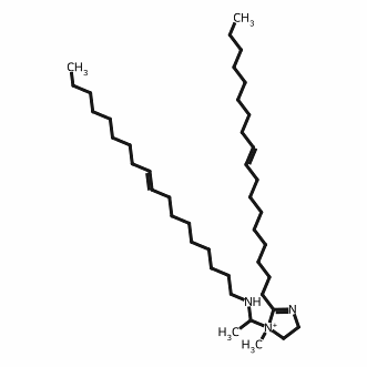 CCCCCCCCC=CCCCCCCCCNC(C)[N+]1(C)CCN=C1CCCCCCCCC=CCCCCCCCC